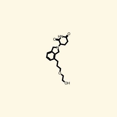 O=C1CCC(N2Cc3cccc(CCCOCCO)c3C2)C(=O)N1